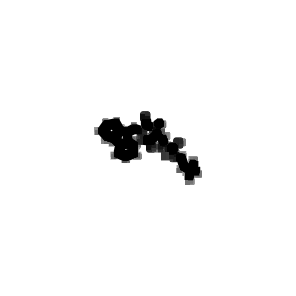 CN(C(=O)OCC1c2ccccc2-c2ccccc21)[C@@H](CNC(=O)OCCC(C)(C)C)C(=O)O